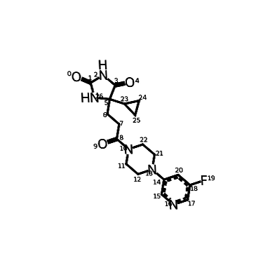 O=C1NC(=O)C(CCC(=O)N2CCN(c3cncc(F)c3)CC2)(C2CC2)N1